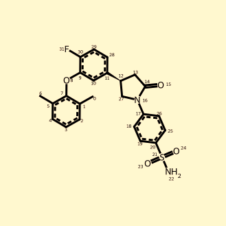 Cc1cccc(C)c1Oc1cc([C@H]2CC(=O)N(c3ccc(S(N)(=O)=O)cc3)C2)ccc1F